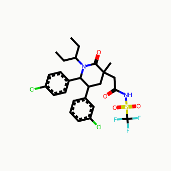 CCC(CC)N1C(=O)C(C)(CC(=O)NS(=O)(=O)C(F)(F)F)CC(c2cccc(Cl)c2)C1c1ccc(Cl)cc1